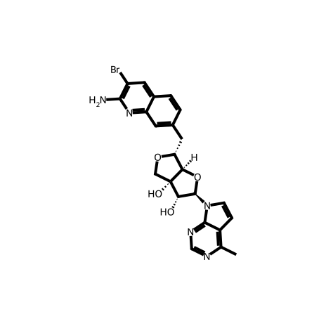 Cc1ncnc2c1ccn2[C@@H]1O[C@@H]2[C@@H](Cc3ccc4cc(Br)c(N)nc4c3)OC[C@]2(O)[C@H]1O